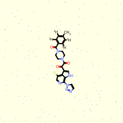 [2H]c1c([2H])c(C(=O)N2CCN(C(=O)C(=O)c3c[nH]c4c(-n5ccnn5)ncc(F)c34)CC2)c([2H])c([2H])c1C